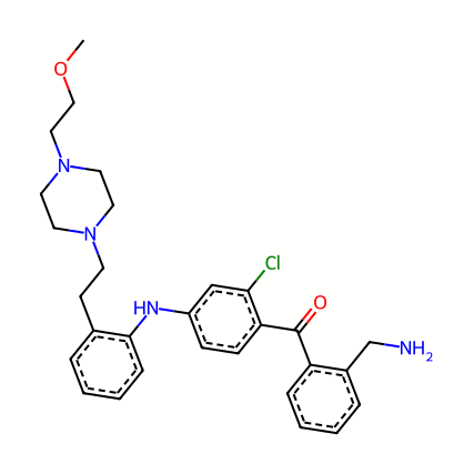 COCCN1CCN(CCc2ccccc2Nc2ccc(C(=O)c3ccccc3CN)c(Cl)c2)CC1